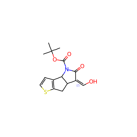 CC(C)(C)OC(=O)N1C(=O)/C(=C\O)C2Cc3sccc3C21